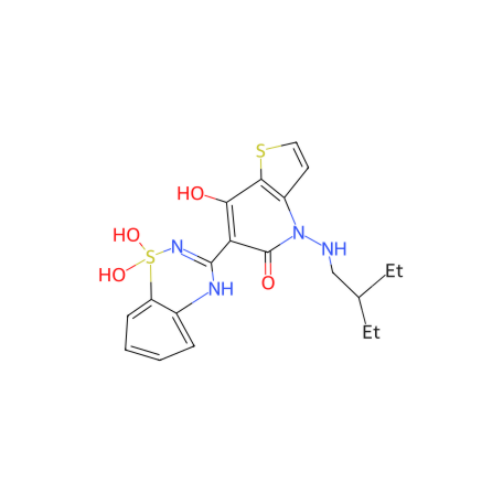 CCC(CC)CNn1c(=O)c(C2=NS(O)(O)c3ccccc3N2)c(O)c2sccc21